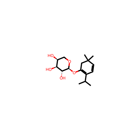 CC(C)C1=C(O[C@@H]2OC[C@H](O)[C@H](O)[C@H]2O)CC(C)(C)C=C1